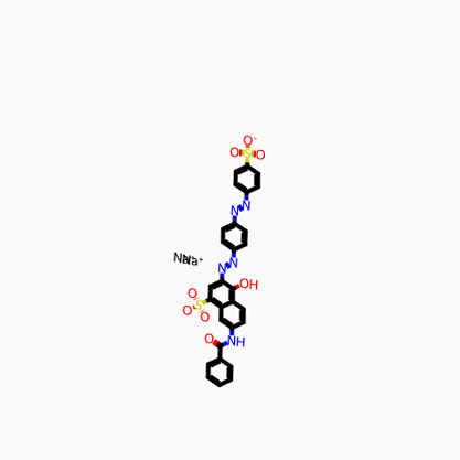 O=C(Nc1ccc2c(O)c(N=Nc3ccc(N=Nc4ccc(S(=O)(=O)[O-])cc4)cc3)cc(S(=O)(=O)[O-])c2c1)c1ccccc1.[Na+].[Na+]